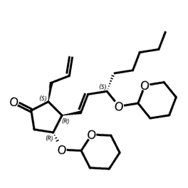 C=CC[C@@H]1C(=O)C[C@@H](OC2CCCCO2)[C@@H]1C=C[C@H](CCCCC)OC1CCCCO1